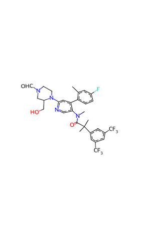 Cc1cc(F)ccc1-c1cc(N2CCN(C=O)CC2CO)ncc1N(C)C(=O)C(C)(C)c1cc(C(F)(F)F)cc(C(F)(F)F)c1